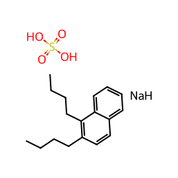 CCCCc1ccc2ccccc2c1CCCC.O=S(=O)(O)O.[NaH]